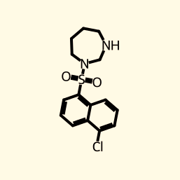 O=S(=O)(c1cccc2c(Cl)cccc12)N1CCCCNC1